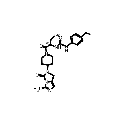 Cc1ncc2n1C(=O)N(C1CCN(C(=O)[C@@H](CC(C)C)NC(=O)Nc3ccc(CI)cc3)CC1)C2